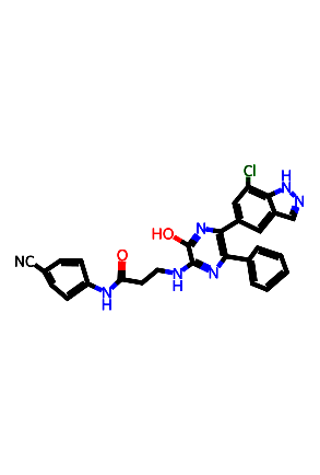 N#Cc1ccc(NC(=O)CCNc2nc(-c3ccccc3)c(-c3cc(Cl)c4[nH]ncc4c3)nc2O)cc1